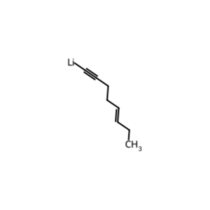 [Li][C]#CCCC=CCC